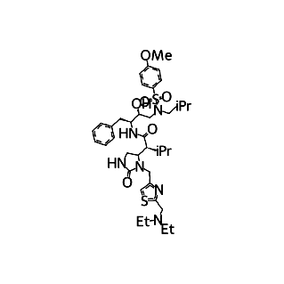 CCN(CC)Cc1nc(CN2C(=O)NCC2[C@@H](C(=O)N[C@@H](Cc2ccccc2)[C@@H](O)CN(CC(C)C)S(=O)(=O)c2ccc(OC)cc2)C(C)C)cs1